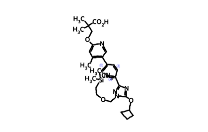 C\C=C(/C=C\C1=N\[Si](C)(C)CCOCn2nc1nc2OC1CCC1)c1cnc(OCC(C)(C)C(=O)O)cc1C